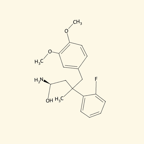 COc1ccc(CC(C)(C[C@H](N)O)c2ccccc2F)cc1OC